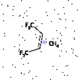 C.FC(F)(F)/C=C\C(F)(F)F